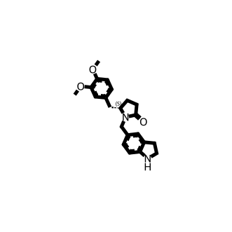 COc1ccc(C[C@@H]2CCC(=O)N2Cc2ccc3c(c2)CCN3)cc1OC